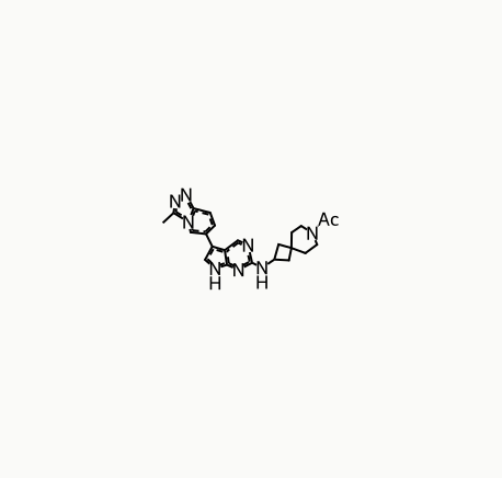 CC(=O)N1CCC2(CC1)CC(Nc1ncc3c(-c4ccc5nnc(C)n5c4)c[nH]c3n1)C2